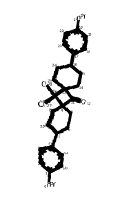 CCCc1ccc(C2CCC3(CC2)C(=O)C2(CCC(c4ccc(CCC)cc4)CC2)C3(Cl)Cl)cc1